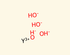 [OH-].[OH-].[OH-].[OH-].[Y+3]